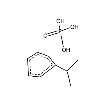 CC(C)c1ccccc1.O=P(O)(O)O